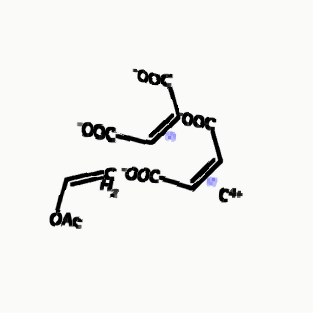 C=COC(C)=O.O=C([O-])/C=C\C(=O)[O-].O=C([O-])/C=C\C(=O)[O-].[C+4]